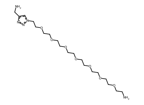 NCCOCCOCCOCCOCCOCCOCCOCCn1cc(CN)nn1